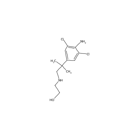 CC(C)(CNCCO)c1cc(Cl)c(N)c(Cl)c1